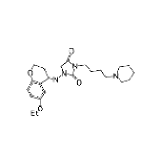 CCOc1ccc2c(c1)/C(=N/N1CC(=O)N(CCCCN3CCCCC3)C1=O)CCO2